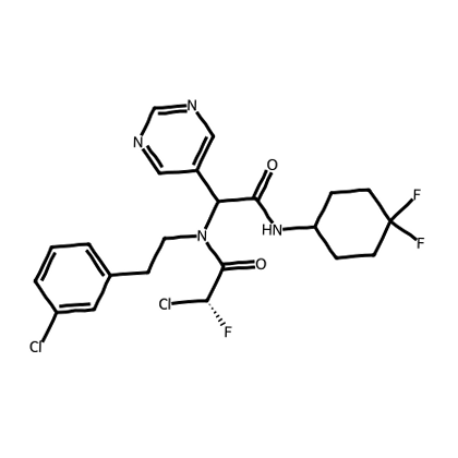 O=C(NC1CCC(F)(F)CC1)C(c1cncnc1)N(CCc1cccc(Cl)c1)C(=O)[C@H](F)Cl